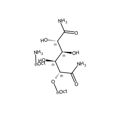 CCCCCCCCN.CCCCCCCCO[C@@H](C(N)=O)[C@@H](O)[C@H](O)[C@H](O)C(N)=O